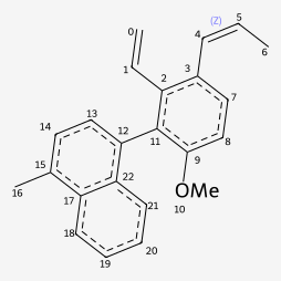 C=Cc1c(/C=C\C)ccc(OC)c1-c1ccc(C)c2ccccc12